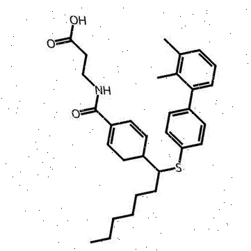 CCCCCCC(Sc1ccc(-c2cccc(C)c2C)cc1)C1C=CC(C(=O)NCCC(=O)O)=CC1